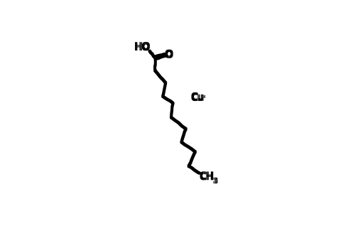 CCCCCCCCCCC(=O)O.[Cu]